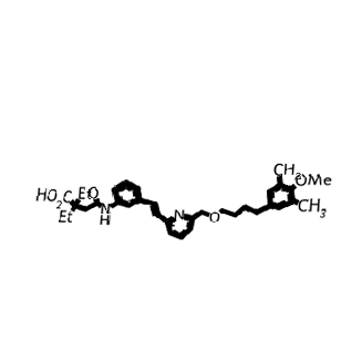 CCC(CC)(CC(=O)Nc1cccc(C=Cc2cccc(COCCCCc3cc(C)c(OC)c(C)c3)n2)c1)C(=O)O